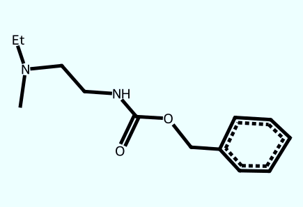 CCN(C)CCNC(=O)OCc1ccccc1